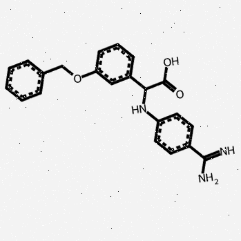 N=C(N)c1ccc(NC(C(=O)O)c2cccc(OCc3ccccc3)c2)cc1